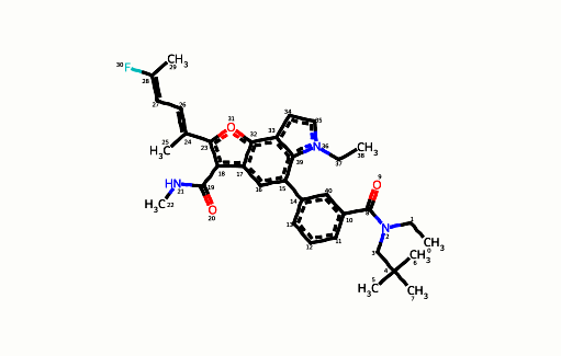 CCN(CC(C)(C)C)C(=O)c1cccc(-c2cc3c(C(=O)NC)c(/C(C)=C/C=C(\C)F)oc3c3ccn(CC)c23)c1